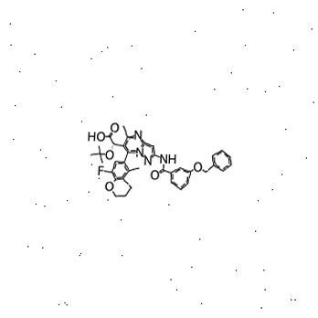 Cc1nc2cc(NC(=O)c3cccc(OCc4ccccc4)c3)nn2c(-c2cc(F)c3c(c2C)CCCO3)c1[C@H](OC(C)(C)C)C(=O)O